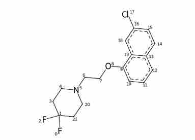 FC1(F)CCN(CCOc2cccc3ccc(Cl)cc23)CC1